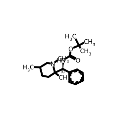 CC1CCC(C)([C@@H](NC(=O)OC(C)(C)C)c2ccccc2)N(C)C1